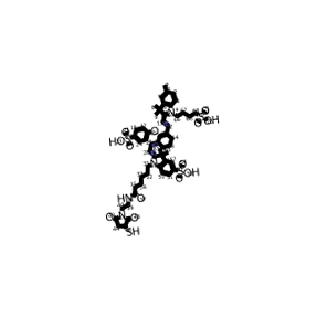 Cc1ccc2c(c1)C(C)(C)C(/C=C/C1=C(Oc3ccc(S(=O)(=O)O)cc3)C(=C/C=C3/N(CCCCCC(=O)NCCN4C(=O)CC(S)C4=O)c4ccc(S(=O)(=O)O)cc4C3(C)C)/CCC1)=[N+]2CCCCS(=O)(=O)O